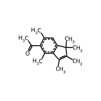 CC(=O)c1c(C)cc2c(c1C)C(C)=C(C)C2(C)C